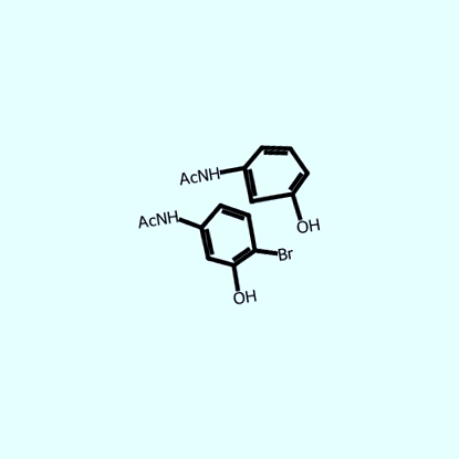 CC(=O)Nc1ccc(Br)c(O)c1.CC(=O)Nc1cccc(O)c1